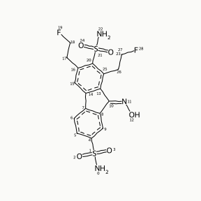 NS(=O)(=O)c1ccc2c(c1)C(=NO)c1c-2cc(CCF)c(S(N)(=O)=O)c1CCF